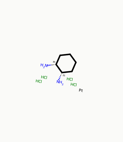 Cl.Cl.Cl.Cl.N[C@@H]1CCCC[C@@H]1N.[Pt]